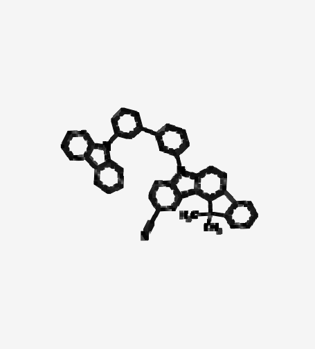 CC1(C)c2ccccc2-c2ccc3c(c21)c1cc(C#N)ccc1n3-c1cccc(-c2cccc(-n3c4ccccc4c4ccccc43)c2)c1